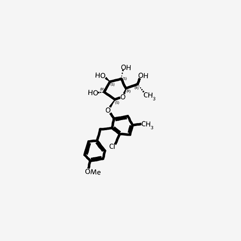 COc1ccc(Cc2c(Cl)cc(C)cc2O[C@@H]2O[C@H]([C@@H](C)O)[C@@H](O)[C@H](O)[C@H]2O)cc1